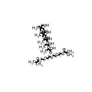 C=C(C)C(=O)OCCOCCOCCOCCOC(=O)C(=C)C.C=CC(=O)O.C=CC(=O)O.C=CC(=O)O.CCC(CO)(CO)CO.CCC(CO)(CO)CO